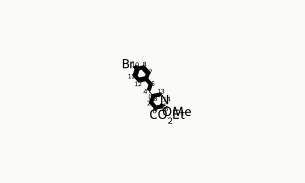 CCOC(=O)C1C[C@H](CCc2ccc(Br)cc2)CN=C1OC